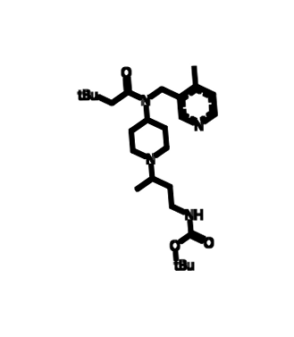 Cc1ccncc1CN(C(=O)CC(C)(C)C)C1CCN(C(C)CCNC(=O)OC(C)(C)C)CC1